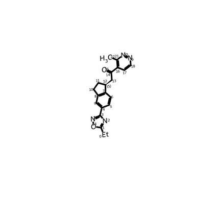 CCc1nc(-c2ccc3c(c2)CC[C@H]3CC(=O)c2ccnnc2C)no1